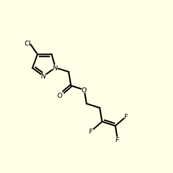 O=C(Cn1cc(Cl)cn1)OCCC(F)=C(F)F